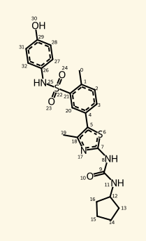 Cc1ccc(-c2sc(NC(=O)NC3CCCC3)nc2C)cc1S(=O)(=O)Nc1ccc(O)cc1